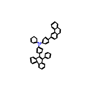 C1=CCCC(N(c2ccc(-c3ccc4ccc5ccccc5c4c3)cc2)c2ccc(-c3c(-c4ccccc4)c4ccccc4c4ccccc34)cc2)=C1